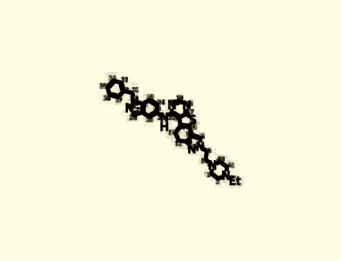 CCN1CCN(CCn2cc3c(n2)CCc2c-3sc3ncnc(Nc4ccc5c(cnn5Cc5ccccc5)c4)c23)CC1